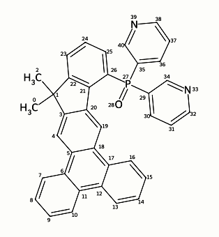 CC1(C)c2cc3c4ccccc4c4ccccc4c3cc2-c2c1cccc2P(=O)(c1cccnc1)c1cccnc1